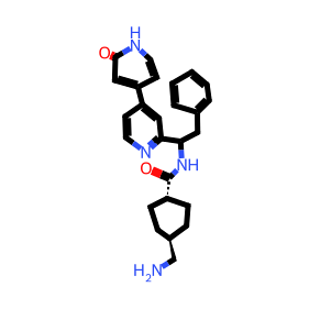 NC[C@H]1CC[C@H](C(=O)NC(Cc2ccccc2)c2cc(-c3cc[nH]c(=O)c3)ccn2)CC1